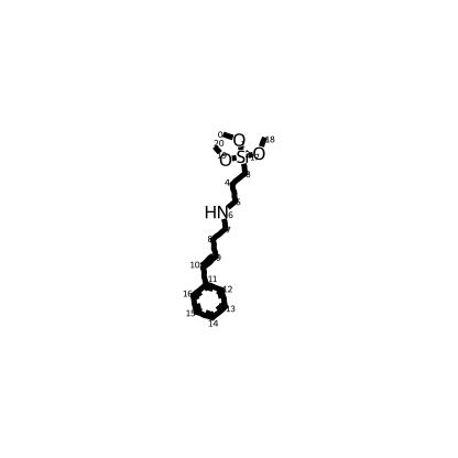 CO[Si](CCCNCCC=Cc1ccccc1)(OC)OC